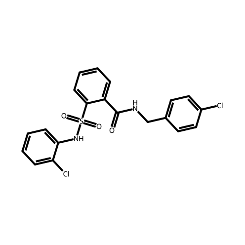 O=C(NCc1ccc(Cl)cc1)c1ccccc1S(=O)(=O)Nc1ccccc1Cl